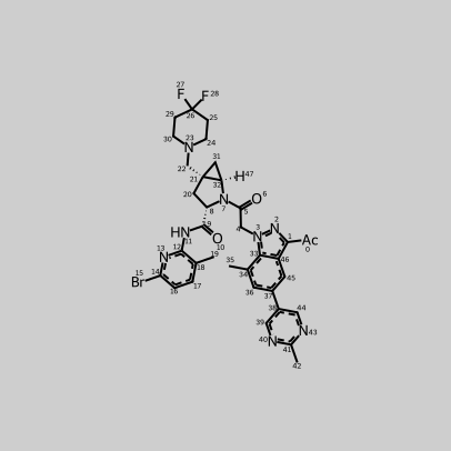 CC(=O)c1nn(CC(=O)N2[C@H](C(=O)Nc3nc(Br)ccc3C)C[C@@]3(CN4CCC(F)(F)CC4)C[C@@H]23)c2c(C)cc(-c3cnc(C)nc3)cc12